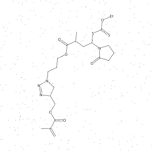 C=C(C)C(=O)OCC1CN(CCCOC(=O)C(C)CC(SC(=S)OCC)N2CCCC2=O)N=N1